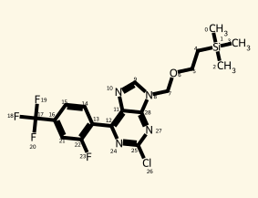 C[Si](C)(C)CCOCn1cnc2c(-c3ccc(C(F)(F)F)cc3F)nc(Cl)nc21